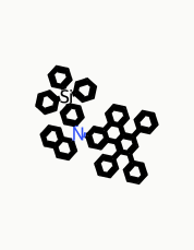 c1ccc(-c2cc(-c3ccccc3)c3c4ccccc4c4cc(N(c5ccc([Si](c6ccccc6)(c6ccccc6)c6ccccc6)cc5)c5cccc6ccccc56)ccc4c3c2-c2ccccc2)cc1